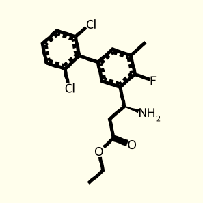 CCOC(=O)C[C@H](N)c1cc(-c2c(Cl)cccc2Cl)cc(C)c1F